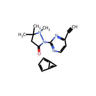 C#Cc1ccnc(N2C(=O)CC(C)(C)N2C)n1.c1cc2cc-2c1